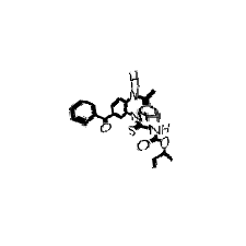 CCC(C)OC(=O)NC(=S)Nc1cc(C(=O)c2ccccc2)ccc1NC(C)=O